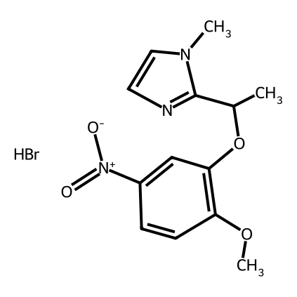 Br.COc1ccc([N+](=O)[O-])cc1OC(C)c1nccn1C